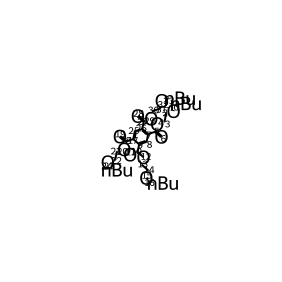 CCCCOCCOC(=O)c1cc(C(=O)OCCOCCCC)c(C(=O)OCCOCCCC)cc1C(=O)OCCOCCCC